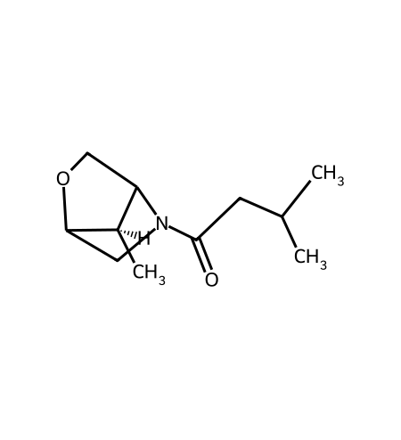 CC(C)CC(=O)N1CC2OCC1[C@H]2C